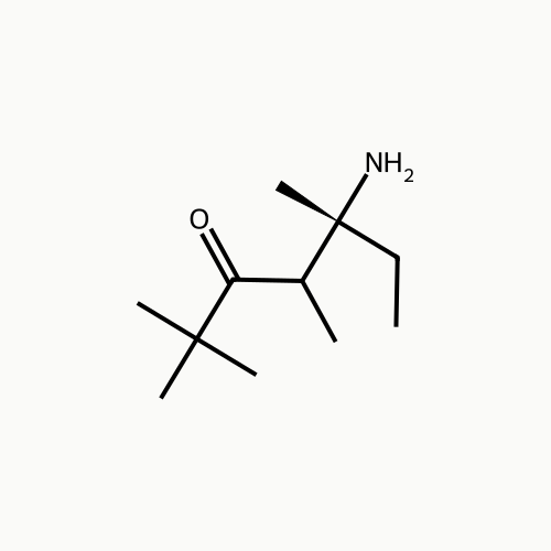 CC[C@@](C)(N)C(C)C(=O)C(C)(C)C